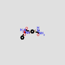 CNC(CSc1ccc(SCC(NC(=O)OCc2ccccc2)C(N)=O)cc1)C(N)=O